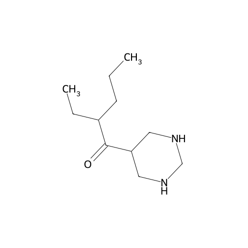 CCCC(CC)C(=O)C1CNCNC1